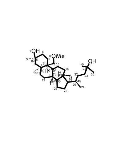 COC[C@]12CC[C@](C)(O)C[C@]1(C)CC[C@@H]1[C@@H]2CC[C@]2(C)C([C@H](C)CCC(C)(C)O)CC[C@@H]12